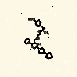 COc1ccc([C@@H]2C[C@@]2(C)NCCNC[C@H](NC(=O)c2ccc(-c3ccccc3)cc2)C(=O)N2CCCC2)cc1